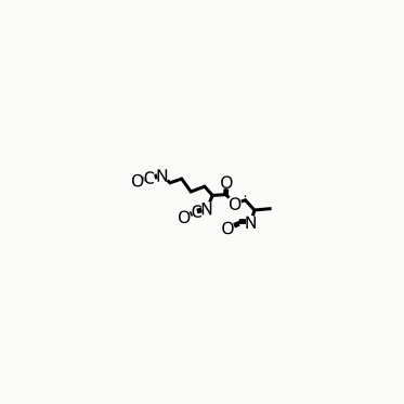 CC([CH]OC(=O)C(CCCCN=C=O)N=C=O)N=C=O